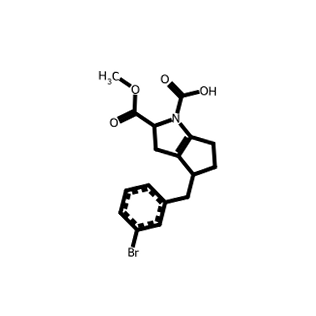 COC(=O)C1CC2=C(CCC2Cc2cccc(Br)c2)N1C(=O)O